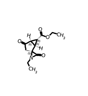 CCOC(=O)[C@H]1[C@@H]2C(=O)C[C@@]3(C(=O)N3CC)[C@@H]21